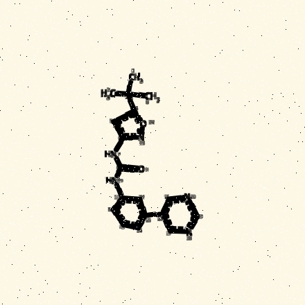 CC(C)(C)c1cc(NC(=O)Nc2cccc(-c3cncnc3)c2)no1